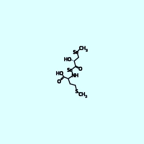 CSCCC(N[Se]C(=O)[C@H](O)C[Se]C)C(=O)O